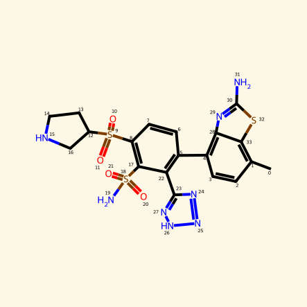 Cc1ccc(-c2ccc(S(=O)(=O)C3CCNC3)c(S(N)(=O)=O)c2-c2nn[nH]n2)c2nc(N)sc12